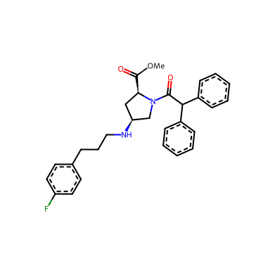 COC(=O)[C@@H]1C[C@H](NCCCc2ccc(F)cc2)CN1C(=O)C(c1ccccc1)c1ccccc1